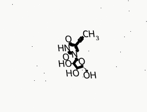 CC#Cc1cn(C2O[C@H](CO)[C@@H](O)[C@@H]2O)c(=O)[nH]c1=O